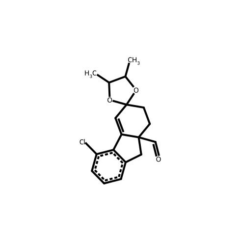 CC1OC2(C=C3c4c(Cl)cccc4CC3(C=O)CC2)OC1C